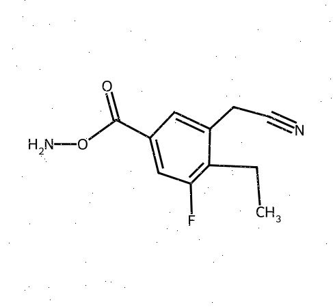 CCc1c(F)cc(C(=O)ON)cc1CC#N